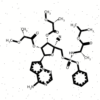 CO[C@H](C)C(=O)O[C@H]1[C@H](c2ccc3c(N)ncnn23)O[C@](C#N)(CO[P@@](=O)(N[C@@H](C)C(=O)OC(C)C)Oc2ccccc2)[C@H]1OC(=O)[C@@H](C)OC